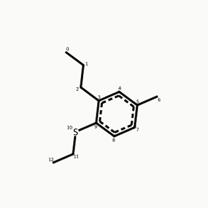 CCCc1cc(C)ccc1SCC